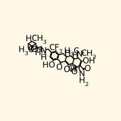 C[C@@H]1C2CC[C@H](CNCc3cc(O)c4c(c3C(F)(F)F)C[C@H]3C[C@H]5[C@H](N(C)C)C(O)=C(C(N)=O)C(=O)[C@@]5(O)C(O)=C3C4=O)C1C2(C)C